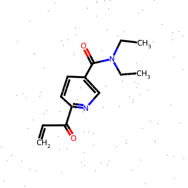 C=CC(=O)c1ccc(C(=O)N(CC)CC)cn1